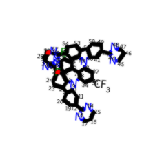 Fc1cc(F)cc(-c2c(-n3c4cc(-c5ncccn5)ccc4c4ccc(-c5ncccn5)cc43)cc(C(F)(F)F)cc2-n2c3cc(-c4ncccn4)ccc3c3ccc(-c4ncccn4)cc32)c1